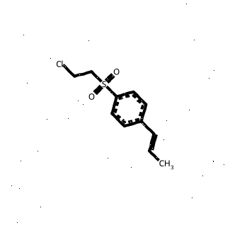 CC=Cc1ccc(S(=O)(=O)CCCl)cc1